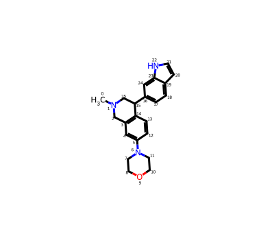 CN1Cc2cc(N3CCOCC3)ccc2C(c2ccc3cc[nH]c3c2)C1